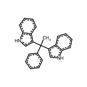 CC(c1ccccc1)(c1c[nH]c2ccccc12)c1c[nH]c2ccccc12